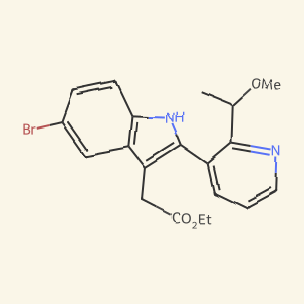 CCOC(=O)Cc1c(-c2cccnc2C(C)OC)[nH]c2ccc(Br)cc12